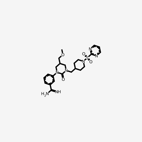 COCC1CN(CC2CCN(S(=O)(=O)c3ncccn3)CC2)C(=O)N(c2cccc(C(=N)N)c2)C1